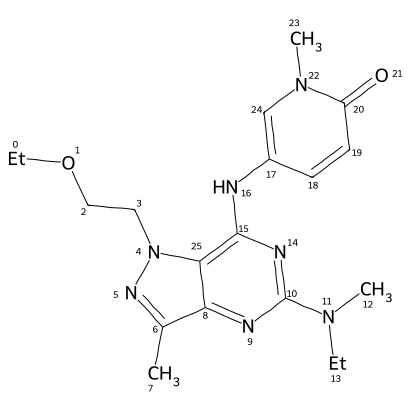 CCOCCn1nc(C)c2nc(N(C)CC)nc(Nc3ccc(=O)n(C)c3)c21